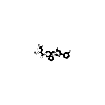 CC(CC(F)(F)F)C(=O)N1CCC(O)(Cn2cnc(-c3cccc(F)c3)cc2=O)C2(CCCC2)C1